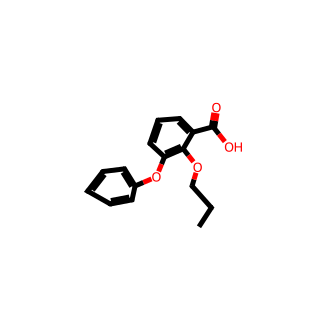 CCCOc1c(Oc2ccccc2)cccc1C(=O)O